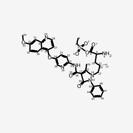 CCS(=O)(=O)OC(=O)C(N)C[C@H](C)Cn1c(C)c(C(=O)Nc2ccc(Oc3ccnc4cc(OC)ccc34)cn2)c(=O)n1-c1ccccc1